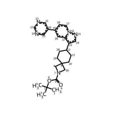 CC(C)(C)OC(=O)N1CC2(CCC(c3cnn4ccc(-c5cncnc5)cc34)CC2)C1